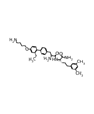 CCc1cc(OCCCCN)ccc1-c1ccc(C[C@H](N)C(=O)N[C@@H](CCCc2cc(C)cc(C)c2)C(N)=O)cc1